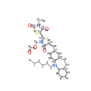 CCCCCCN1c2ccccc2CCc2cc(/C=c3/s/c(=C4/SC(=O)N(CC)C4=O)n(COC=O)c3=O)ccc21